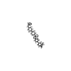 O=C(Oc1ccc(-c2ccc(F)c(F)c2)cc1)C1CCC(C2CCC(CC3CO3)CC2)CC1